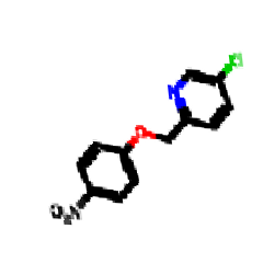 O=[N+]([O-])c1ccc(OCc2ccc(Cl)cn2)cc1